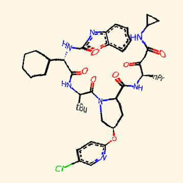 CCC[C@@H](NC(=O)C1C[C@@H](Oc2ccc(Cl)cn2)CN1C(=O)C(NC(=O)[C@@H](Nc1nc2ccccc2o1)C1CCCCC1)C(C)(C)C)C(=O)C(=O)NC1CC1